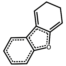 C1=c2oc3ccccc3c2=CCC1